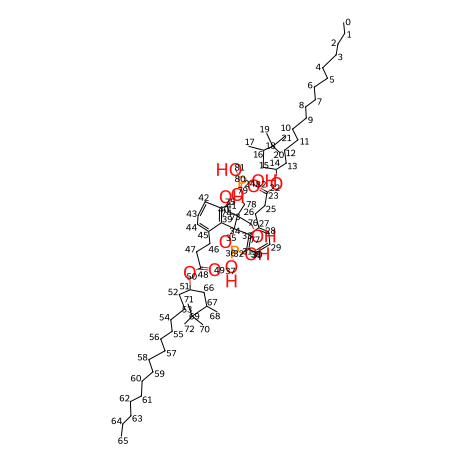 CCCCCCCCCCCCCCC(CC(C)C(C)(C)C)OC(=O)CCc1cccc(C)c1C(OP(O)O)(c1c(C)cccc1CCC(=O)OC(CCCCCCCCCCCCCC)CC(C)C(C)(C)C)C(CO)(CO)COP(O)O